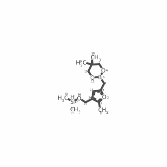 Cc1oc(CB2OCC(C)(C)CO2)cc1CO[SiH](C)C